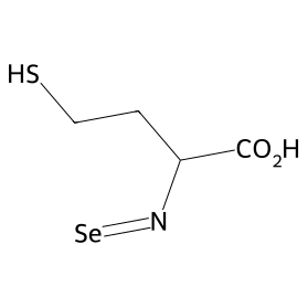 O=C(O)C(CCS)N=[Se]